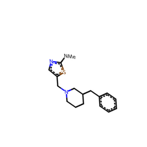 CNc1ncc(CN2CCCC(Cc3ccccc3)C2)s1